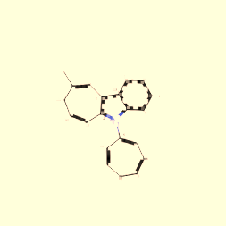 CC1=Cc2c(n(C3=CC=CCC=C3)c3ccccc23)C=CC1